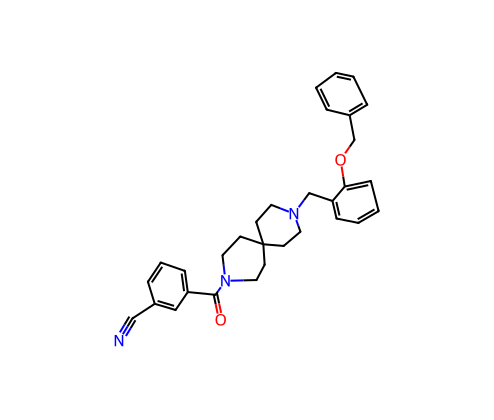 N#Cc1cccc(C(=O)N2CCC3(CCN(Cc4ccccc4OCc4ccccc4)CC3)CC2)c1